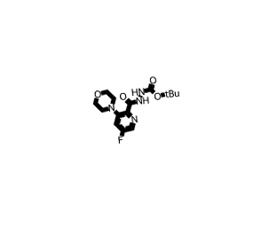 CC(C)(C)OC(=O)NNC(=O)c1ncc(F)cc1N1CCOCC1